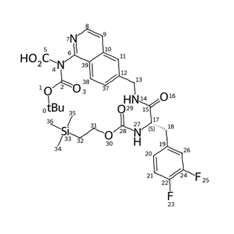 CC(C)(C)OC(=O)N(C(=O)O)c1nccc2cc(CNC(=O)[C@H](Cc3ccc(F)c(F)c3)NC(=O)OCC[Si](C)(C)C)ccc12